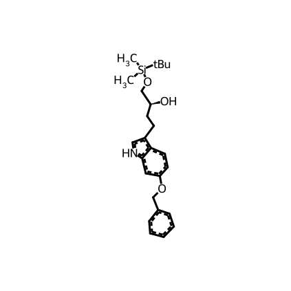 CC(C)(C)[Si](C)(C)OC[C@@H](O)CCc1c[nH]c2cc(OCc3ccccc3)ccc12